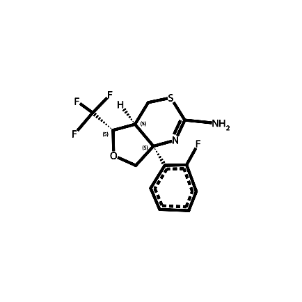 NC1=N[C@@]2(c3ccccc3F)CO[C@H](C(F)(F)F)[C@H]2CS1